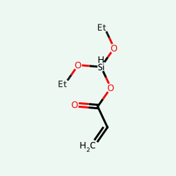 C=CC(=O)O[SiH](OCC)OCC